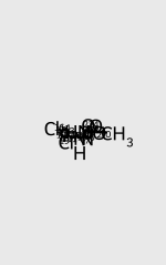 CCOC(=O)c1cnc(NCCc2ccc(Cl)cc2Cl)[nH]c1=O